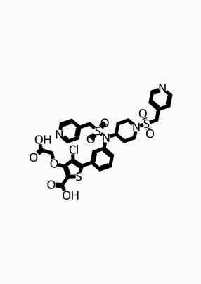 O=C(O)COc1c(C(=O)O)sc(-c2cccc(N(C3CCN(S(=O)(=O)Cc4ccncc4)CC3)S(=O)(=O)Cc3ccncc3)c2)c1Cl